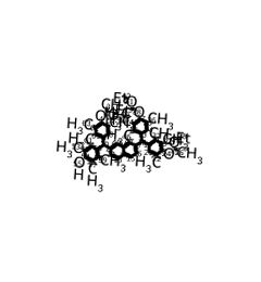 CCOC(C)Oc1c(C)cc(C(c2ccc3ccc(C(c4cc(C)c(OC(C)OCC)c(C)c4C)c4cc(C)c(OC(C)OCC)c(C)c4C)cc3c2)c2cc(C)c(O)c(C)c2C)c(C)c1C